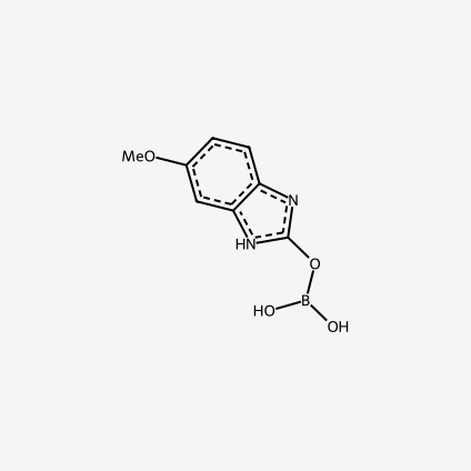 COc1ccc2nc(OB(O)O)[nH]c2c1